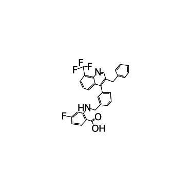 O=C(O)c1ccc(F)cc1NCc1cccc(-c2c(Cc3ccccc3)cnc3c(C(F)(F)F)cccc23)c1